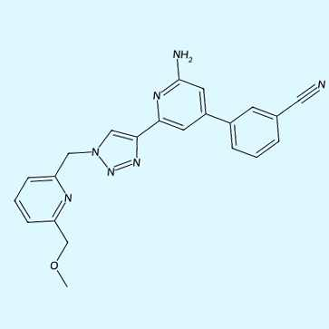 COCc1cccc(Cn2cc(-c3cc(-c4cccc(C#N)c4)cc(N)n3)nn2)n1